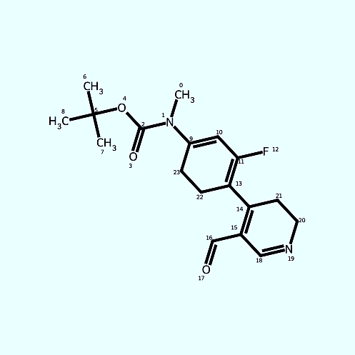 CN(C(=O)OC(C)(C)C)C1=CC(F)=C(C2=C(C=O)C=NCC2)CC1